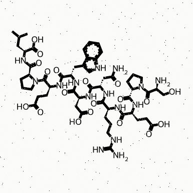 CC(C)C[C@H](NC(=O)[C@@H]1CCCN1C(=O)[C@H](CCC(=O)O)NC(=O)[C@H](Cc1c[nH]c2ccccc12)NC(=O)[C@H](CC(=O)O)NC(=O)[C@H](CC(N)=O)NC(=O)[C@H](CCCNC(=N)N)NC(=O)[C@H](CCC(=O)O)NC(=O)[C@@H]1CCCN1C(=O)[C@@H](N)CO)C(=O)O